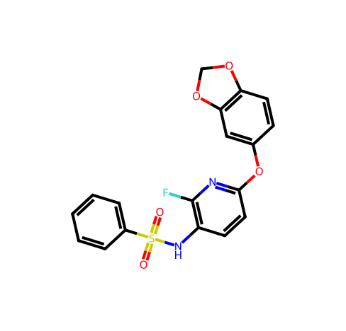 O=S(=O)(Nc1ccc(Oc2ccc3c(c2)OCO3)nc1F)c1ccccc1